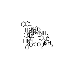 NC(=O)c1ccc(C[C@H](NC(=O)[C@H](Cc2ccc3ccccc3c2)NC(=O)[C@@H]2CCCCN2C(=O)[C@H](CCC(=O)O)NC(=O)CCl)C(N)=O)cc1